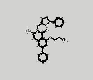 CCCOc1cc(-c2ccccc2)cc2nc(N)n(CC3CCC(c4ccccc4)O3)c(=O)c12